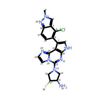 Cn1cc2c(Cl)c(-c3c[nH]c4nc(N5C[C@@H](N)[C@@H](F)C5)n5ccnc5c34)ccc2n1